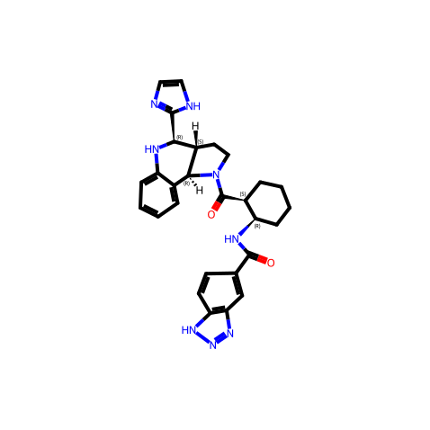 O=C(N[C@@H]1CCCC[C@@H]1C(=O)N1CC[C@H]2[C@H](c3ncc[nH]3)Nc3ccccc3[C@@H]21)c1ccc2[nH]nnc2c1